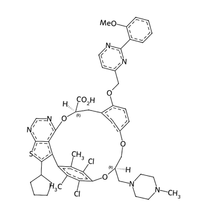 COc1ccccc1-c1nccc(COc2ccc3cc2C[C@H](C(=O)O)Oc2ncnc4sc(C5CCCC5)c(c24)-c2c(C)c(Cl)c(c(Cl)c2C)O[C@H](CN2CCN(C)CC2)CO3)n1